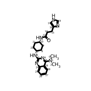 CN(C)c1nc(N[C@H]2CC[C@@H](NC(=O)CCc3c[nH]cn3)CC2)nc2ccccc12